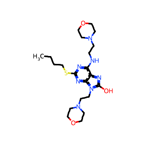 CCCCSc1nc(NCCN2CCOCC2)c2nc(O)n(CCN3CCOCC3)c2n1